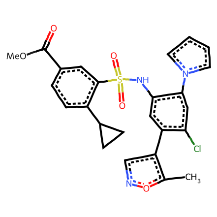 COC(=O)c1ccc(C2CC2)c(S(=O)(=O)Nc2cc(-c3cnoc3C)c(Cl)cc2-n2cccc2)c1